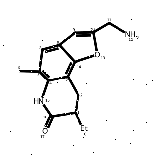 CCC1Cc2c(c(C)cc3cc(CN)oc23)NC1=O